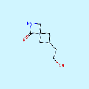 O=C1NCC12CC(CCO)C2